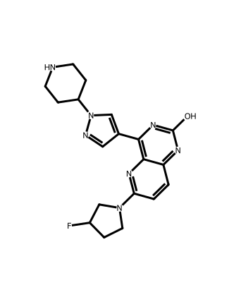 Oc1nc(-c2cnn(C3CCNCC3)c2)c2nc(N3CCC(F)C3)ccc2n1